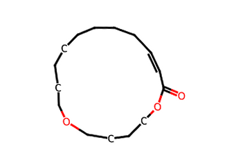 O=C1C=CCCCCCCCCOCCCCO1